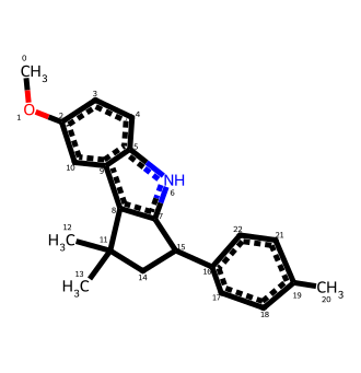 COc1ccc2[nH]c3c(c2c1)C(C)(C)CC3c1ccc(C)cc1